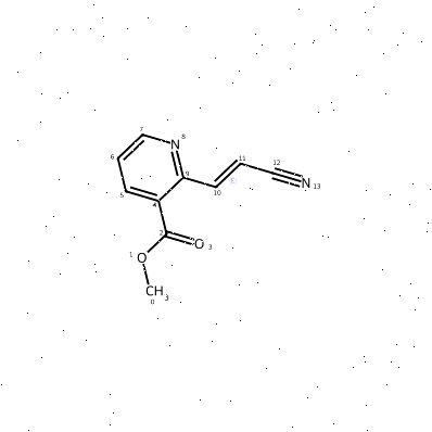 COC(=O)c1cccnc1/C=C/C#N